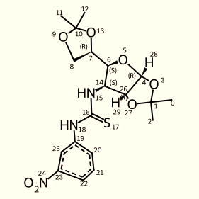 CC1(C)O[C@H]2O[C@H]([C@H]3COC(C)(C)O3)[C@H](NC(=S)Nc3cccc([N+](=O)[O-])c3)[C@H]2O1